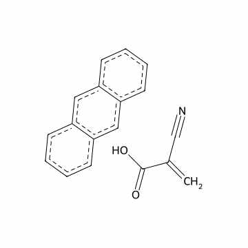 C=C(C#N)C(=O)O.c1ccc2cc3ccccc3cc2c1